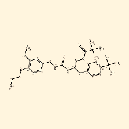 COc1cc(CNC(=S)NC(COC(=O)C(C)(C)C)Cc2ccc(C(C)(C)C)cc2)ccc1OCCN